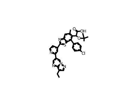 CCc1cnn2cc(-c3cc(-c4nc5cc(C)c(C(OC(C)(C)C)C(=O)O)c(-c6ccc(Cl)cc6)c5s4)ccn3)cnc12